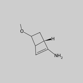 COC1C[C@@H]2C(N)=CC12